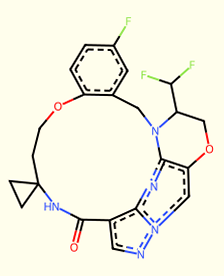 O=C1NC2(CCOc3ccc(F)cc3CN3c4nc5c1cnn5cc4OCC3C(F)F)CC2